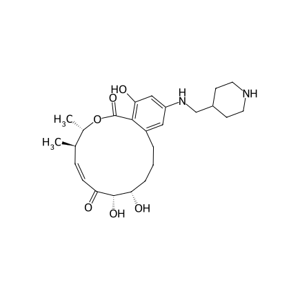 C[C@@H]1/C=C\C(=O)[C@@H](O)[C@@H](O)CCCc2cc(NCC3CCNCC3)cc(O)c2C(=O)O[C@H]1C